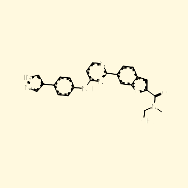 CN(CC(F)(F)F)C(=O)c1cc2ccc(-c3nccc(Nc4ccc(-c5cn[nH]c5)cc4)n3)cc2s1